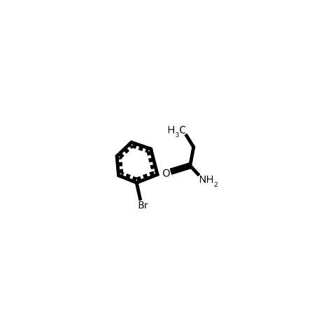 Brc1ccccc1.CCC(N)=O